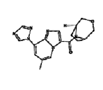 Cc1cc(-n2cncn2)c2ncc(C(=O)N3C4CC[C@H]3COC4)n2c1